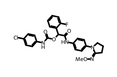 CO/N=C1/CCCN1c1ccc(NC(=O)C(OC(=O)Nc2ccc(Cl)cc2)c2ccccc2F)cc1